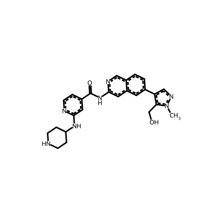 Cn1ncc(-c2ccc3cnc(NC(=O)c4ccnc(NC5CCNCC5)c4)cc3c2)c1CO